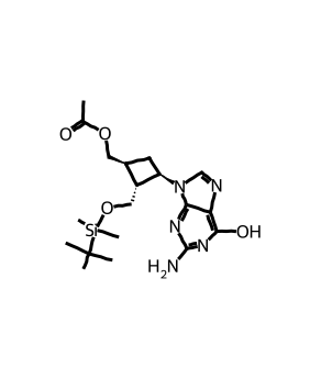 CC(=O)OC[C@H]1C[C@@H](n2cnc3c(O)nc(N)nc32)[C@@H]1CO[Si](C)(C)C(C)(C)C